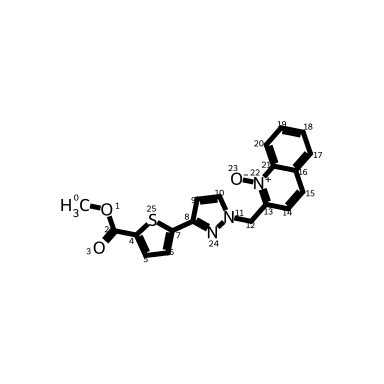 COC(=O)c1ccc(-c2ccn(Cc3ccc4ccccc4[n+]3[O-])n2)s1